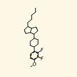 CCCCCC1CCC2C(C3CCC(c4ccc(OC)c(F)c4F)CC3)CCC12